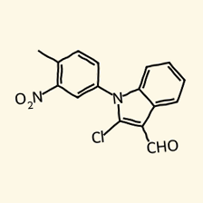 Cc1ccc(-n2c(Cl)c(C=O)c3ccccc32)cc1[N+](=O)[O-]